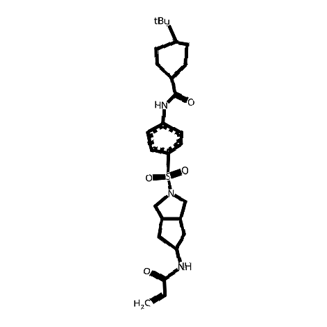 C=CC(=O)NC1CC2CN(S(=O)(=O)c3ccc(NC(=O)C4CCC(C(C)(C)C)CC4)cc3)CC2C1